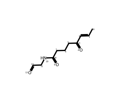 C/C=C/C(=O)CCCC(=O)NCC=O